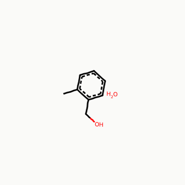 Cc1ccccc1CO.O